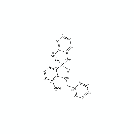 CCC(CC)(Pc1ccccc1C(C)=O)c1cccc(OC)c1OCc1ccccc1